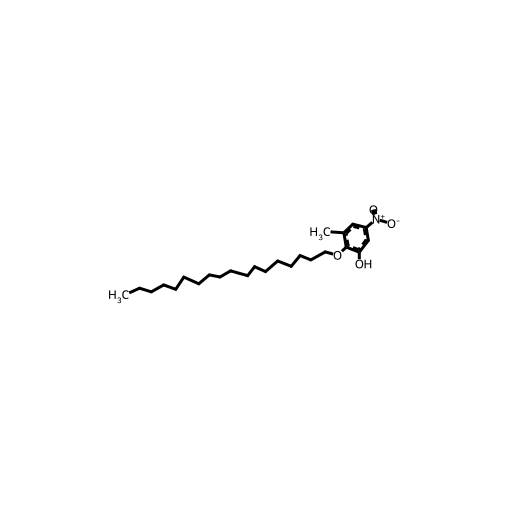 CCCCCCCCCCCCCCCCCCOc1c(C)cc([N+](=O)[O-])cc1O